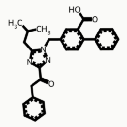 CC(C)Cc1nc(C(=O)Cc2ccccc2)nn1Cc1ccc(-c2ccccc2)c(C(=O)O)c1